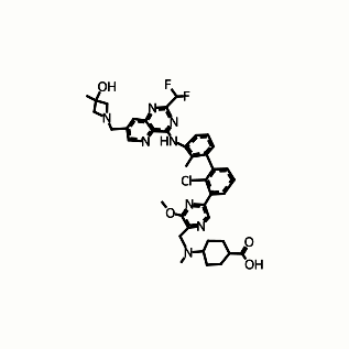 COc1nc(-c2cccc(-c3cccc(Nc4nc(C(F)F)nc5cc(CN6CC(C)(O)C6)cnc45)c3C)c2Cl)cnc1CN(C)C1CCC(C(=O)O)CC1